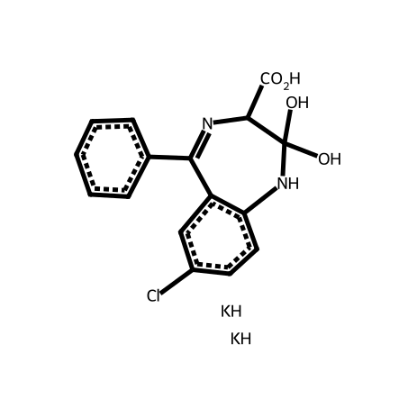 O=C(O)C1N=C(c2ccccc2)c2cc(Cl)ccc2NC1(O)O.[KH].[KH]